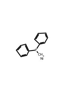 CP(c1ccccc1)c1ccccc1.[Ni]